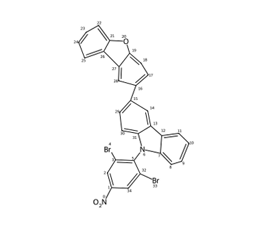 O=[N+]([O-])c1cc(Br)c(-n2c3ccccc3c3cc(-c4ccc5oc6ccccc6c5c4)ccc32)c(Br)c1